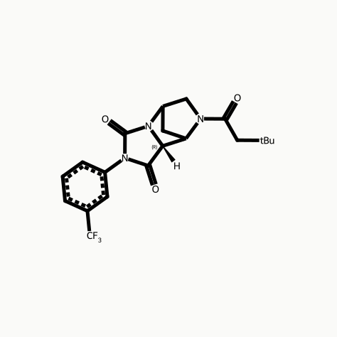 CC(C)(C)CC(=O)N1CC2CC1[C@@H]1C(=O)N(c3cccc(C(F)(F)F)c3)C(=O)N21